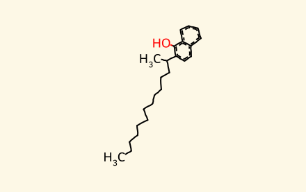 CCCCCCCCCCCCC(C)c1ccc2ccccc2c1O